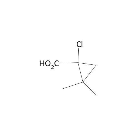 CC1(C)CC1(Cl)C(=O)O